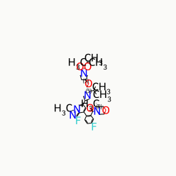 Cc1nc(F)c2c(-c3ccc(F)cc3C(=O)N3CCOC[C@H]3C)cc(C3CN([C@H](CO[C@H]4CCN(C(=O)OC(C)(C)C)C4)C(C)C)C3)cn12